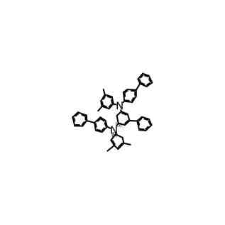 CC1=C[C@H](N(c2ccc(-c3ccccc3)cc2)[C@@H]2C=C(c3ccccc3)C=C(N(c3ccc(-c4ccccc4)cc3)c3cc(C)cc(C)c3)C2)CC(C)=C1